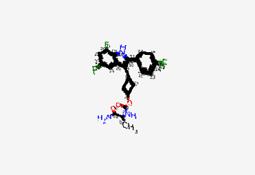 CC(NC(=O)OC1CC(c2c(-c3ccc(F)cc3)[nH]c3c(F)cc(F)cc23)C1)C(N)=O